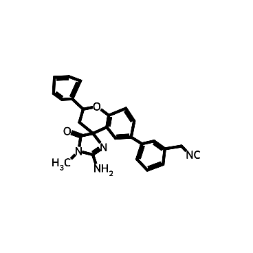 [C-]#[N+]Cc1cccc(-c2ccc3c(c2)C2(CC(c4ccccc4)O3)N=C(N)N(C)C2=O)c1